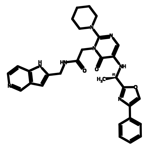 C[C@@H](Nc1cnc(N2CCCCC2)n(CC(=O)NCc2cc3cnccc3[nH]2)c1=O)c1nc(-c2ccccc2)co1